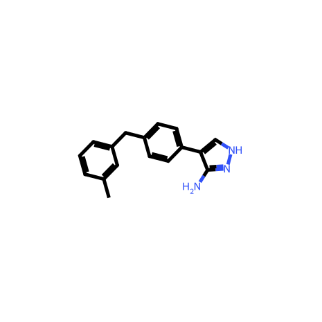 Cc1cccc(Cc2ccc(-c3c[nH]nc3N)cc2)c1